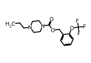 [CH2]CCN1CCN(C(=O)OCc2ccccc2OC(F)(F)F)CC1